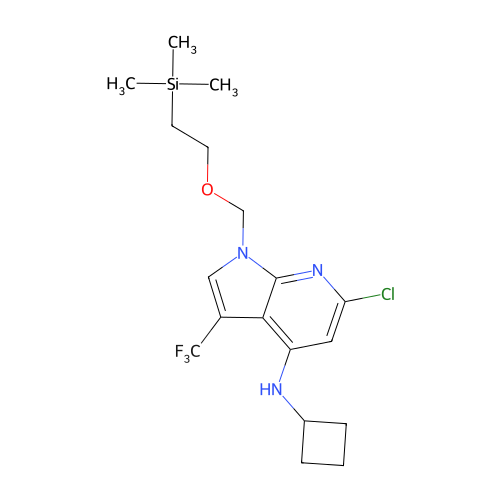 C[Si](C)(C)CCOCn1cc(C(F)(F)F)c2c(NC3CCC3)cc(Cl)nc21